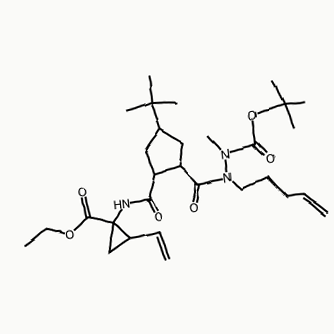 C=CCCCN(C(=O)C1CC(C(C)(C)C)CC1C(=O)NC1(C(=O)OCC)CC1C=C)N(C)C(=O)OC(C)(C)C